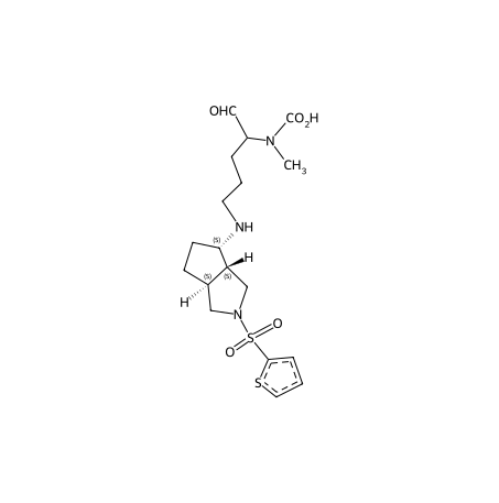 CN(C(=O)O)C(C=O)CCCN[C@H]1CC[C@@H]2CN(S(=O)(=O)c3cccs3)C[C@H]21